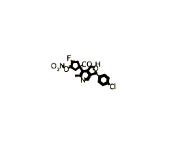 Cc1ncc2c(c1[C@]1(C(=O)O)C[C@@H](F)[C@H](O[N+](=O)[O-])C1)CO[C@H]2c1ccc(Cl)cc1